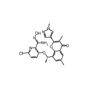 Cc1cc([C@@H](C)Oc2ccc(Cl)nc2C(N)=NO)c2oc(-c3cnn(C)c3)c(C)c(=O)c2c1